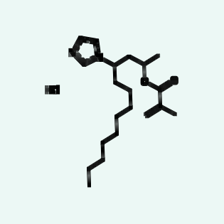 C=C(C)C(=O)OC(C)CC(CCCCCCCCC)n1ccnc1.Cl